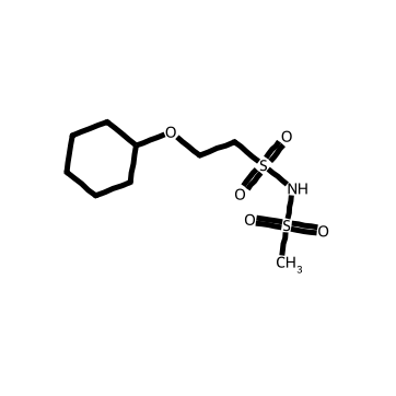 CS(=O)(=O)NS(=O)(=O)CCOC1CCCCC1